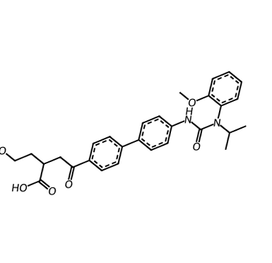 COCCC(CC(=O)c1ccc(-c2ccc(NC(=O)N(c3ccccc3OC)C(C)C)cc2)cc1)C(=O)O